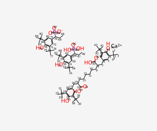 CC(C)(C)c1cc(CC(CCCCCCC(Cc2cc(C(C)(C)C)c(O)c(C(C)(C)C)c2)C(=O)O)C(=O)O)cc(C(C)(C)C)c1O.CCC(c1cc(C(C)(C)C)c(O)c(C(C)(C)C)c1)P(=O)(O)O.CCC(c1cc(C(C)(C)C)c(O)c(C(C)(C)C)c1)P(=O)([O-])[O-].[Ca+2]